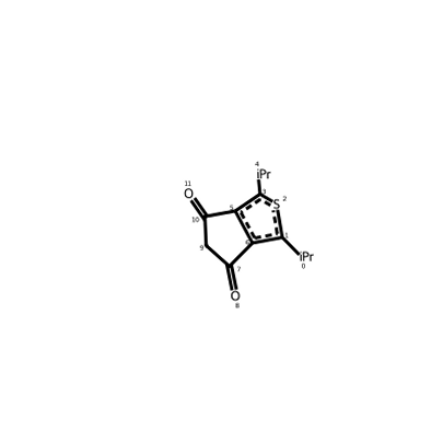 CC(C)c1sc(C(C)C)c2c1C(=O)CC2=O